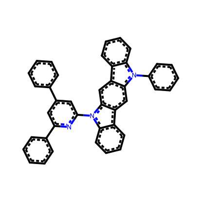 c1ccc(-c2cc(-c3ccccc3)nc(-n3c4ccccc4c4cc5c(cc43)c3ccccc3n5-c3ccccc3)c2)cc1